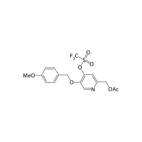 COc1ccc(COc2cnc(COC(C)=O)cc2OS(=O)(=O)C(F)(F)F)cc1